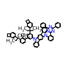 CCC(C)(c1ccc2c(c1)CC2)c1cccc(-c2cc(-n3c4ccccc4c4cc5c(cc43)c3ccccc3n5-c3ccccc3-c3nc(-c4ccccc4)nc(-c4ccccc4)n3)cc(C(CC)(CC)c3ccc4c(c3)CC4)c2)c1C